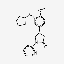 COc1ccc(C2CC(=O)N(c3ccccn3)C2)cc1OC1CCCC1